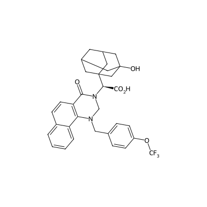 O=C(O)[C@@H](N1CN(Cc2ccc(OC(F)(F)F)cc2)c2c(ccc3ccccc23)C1=O)C12CC3CC(CC(O)(C3)C1)C2